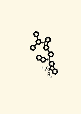 CC1(C)c2ccccc2-c2ccc(N(c3cccc(-c4ccc5c(c4)c4ccccc4n5-c4cc(-c5ccccc5)cc(-c5ccccc5)c4)c3)c3ccc4ccccc4c3)cc21